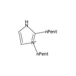 CCCCCc1[nH]cc[n+]1CCCCC